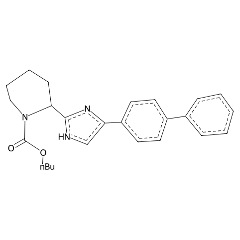 CCCCOC(=O)N1CCCCC1c1nc(-c2ccc(-c3ccccc3)cc2)c[nH]1